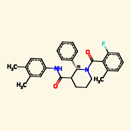 Cc1ccc(NC(=O)C2CCCN(C(=O)c3c(C)cccc3F)[C@H]2c2ccccc2)cc1C